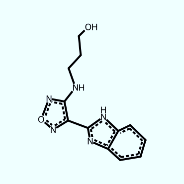 OCCCNc1nonc1-c1nc2ccccc2[nH]1